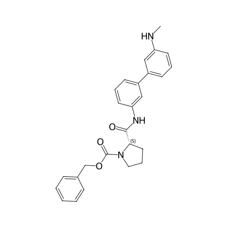 CNc1cccc(-c2cccc(NC(=O)[C@@H]3CCCN3C(=O)OCc3ccccc3)c2)c1